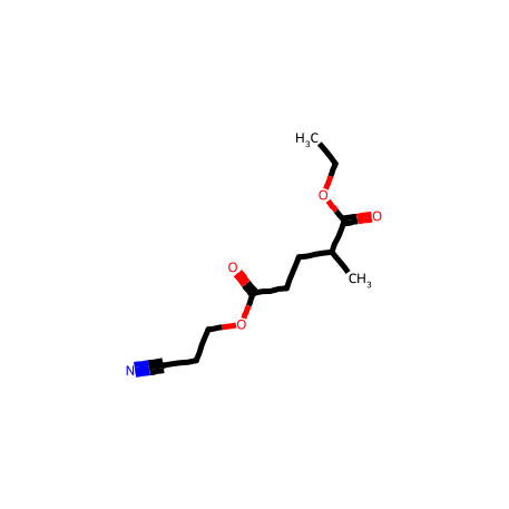 CCOC(=O)C(C)CCC(=O)OCCC#N